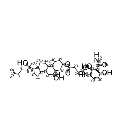 C=C(C)CCC[C@](C)(O)C1CCC2C3C[C@H](O)[C@H]4C[C@@H](OC(=O)CCC(=O)Nc5ccc(O)c(C(N)=O)c5O)CC[C@]4(C)C3CC[C@@]21C